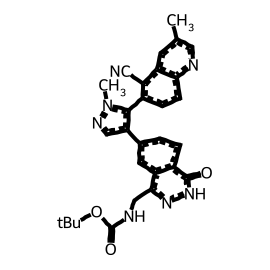 Cc1cnc2ccc(-c3c(-c4ccc5c(=O)[nH]nc(CNC(=O)OC(C)(C)C)c5c4)cnn3C)c(C#N)c2c1